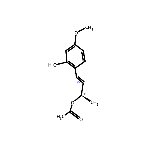 COc1ccc(/C=C/[C@@H](C)OC(C)=O)c(C)c1